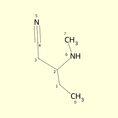 CCC(CC#N)NC